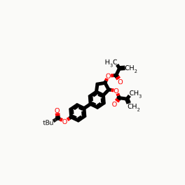 C=C(C)C(=O)OC1Cc2cc(-c3ccc(OC(=O)C(C)(C)C)cc3)ccc2C1OC(=O)C(=C)C